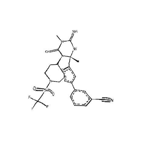 CN1C(=N)N[C@](C)(c2cc(-c3cccc(C#N)c3)cs2)[C@@H](C2CCN(S(=O)(=O)C(F)(F)F)CC2)C1=O